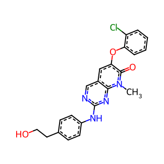 Cn1c(=O)c(Oc2ccccc2Cl)cc2cnc(Nc3ccc(CCO)cc3)nc21